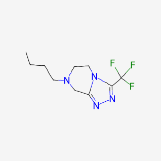 CCCCN1CCn2c(nnc2C(F)(F)F)C1